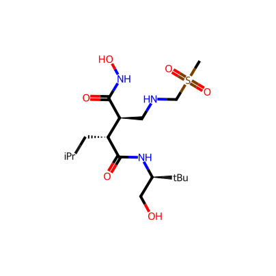 CC(C)C[C@@H](C(=O)N[C@H](CO)C(C)(C)C)[C@H](CNCS(C)(=O)=O)C(=O)NO